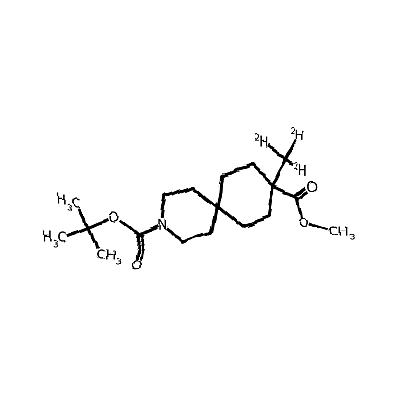 [2H]C([2H])([2H])C1(C(=O)OC)CCC2(CCN(C(=O)OC(C)(C)C)CC2)CC1